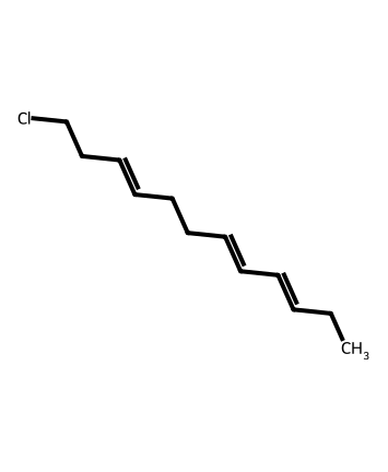 CC/C=C/C=C/CC/C=C/CCCl